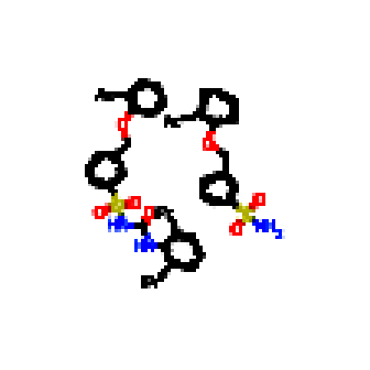 CC(=O)c1ccccc1OCc1cccc(S(=O)(=O)NC(=O)Nc2c(C(C)C)cccc2C(C)C)c1.CC(=O)c1ccccc1OCc1cccc(S(N)(=O)=O)c1